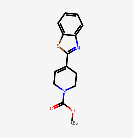 CC(C)(C)OC(=O)N1CC=C(c2nc3ccccc3s2)CC1